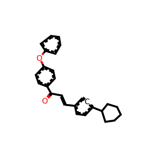 O=C(C=Cc1ccc(C2CCCCC2)cc1)c1ccc(Oc2ccccc2)cc1